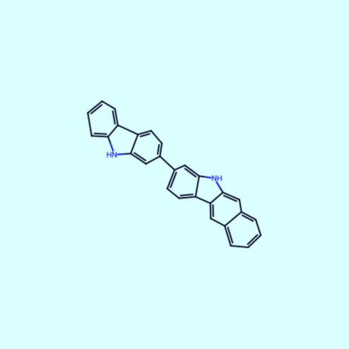 c1ccc2cc3c(cc2c1)[nH]c1cc(-c2ccc4c(c2)[nH]c2ccccc24)ccc13